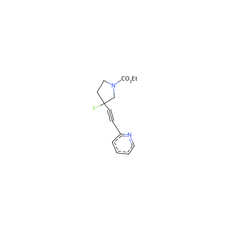 CCOC(=O)N1CCC(F)(C#Cc2ccccn2)C1